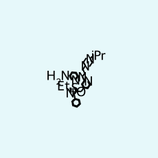 CCc1nc(-c2ccccc2)c(Oc2ccnc(N(CCN3CCN(C(C)C)CC3)c3ccc(N)cn3)c2)s1